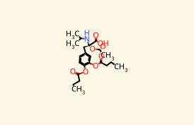 CCCC(=O)Oc1ccc(C[C@](NC(C)C)(OC(C)=O)C(=O)O)cc1OC(=O)CCC